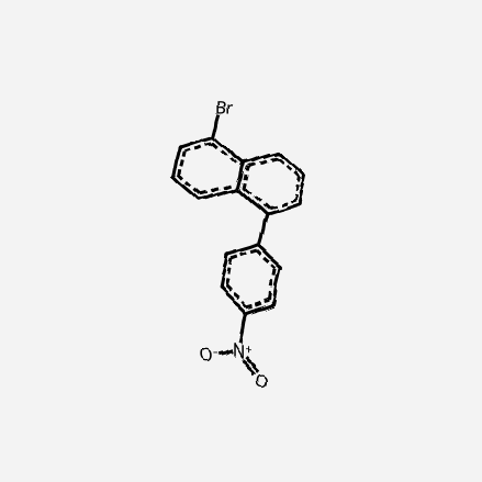 O=[N+]([O-])c1ccc(-c2cccc3c(Br)cccc23)cc1